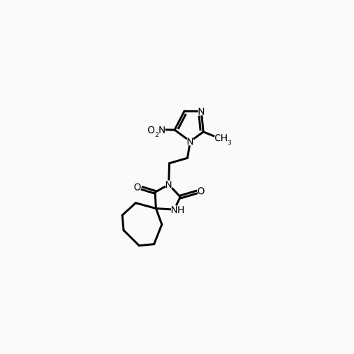 Cc1ncc([N+](=O)[O-])n1CCN1C(=O)NC2(CCCCCC2)C1=O